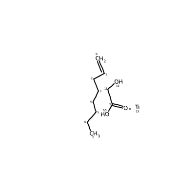 C=CCCCCCC.O=C(O)CO.[Ti]